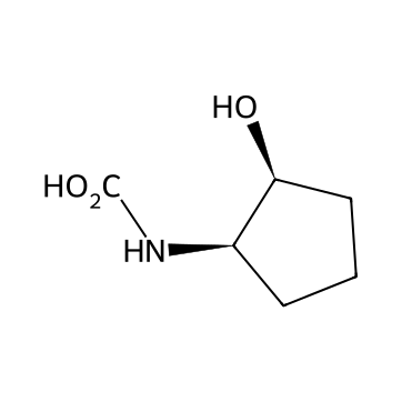 O=C(O)N[C@@H]1CCC[C@@H]1O